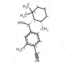 Cc1cc(C(O)[C@H]2[C@@H](C)CCCC2(C)C)ccc1C#N